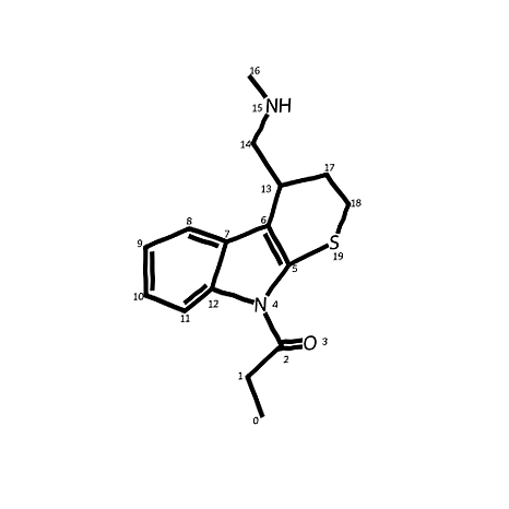 CCC(=O)n1c2c(c3ccccc31)C(CNC)CCS2